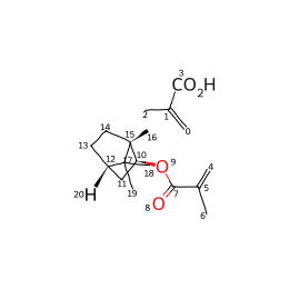 C=C(C)C(=O)O.C=C(C)C(=O)O[C@H]1C[C@@H]2CC[C@@]1(C)C2(C)C